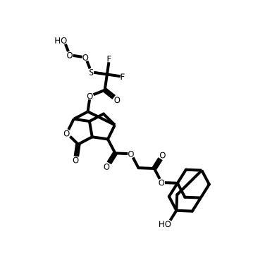 O=C(COC(=O)C1C2CC3C(OC(=O)C31)C2OC(=O)C(F)(F)SOOO)OC12CC3CC(CC(O)(C3)C1)C2